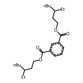 CCCCC(CC)CCOC(=O)c1cccc(C(=O)OCCC(CC)CCCC)c1